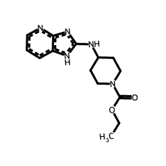 CCOC(=O)N1CCC(Nc2nc3ncccc3[nH]2)CC1